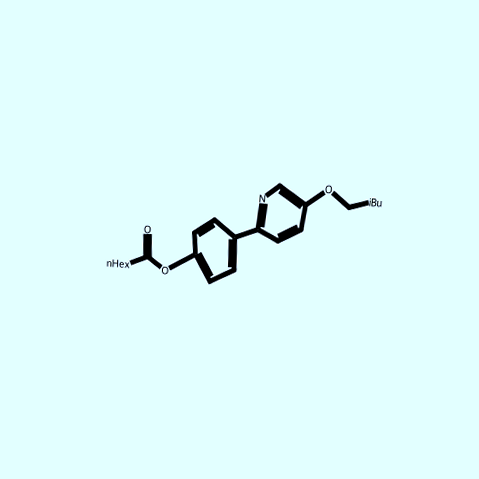 CCCCCCC(=O)Oc1ccc(-c2ccc(OCC(C)CC)cn2)cc1